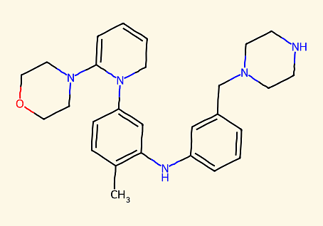 Cc1ccc(N2CC=CC=C2N2CCOCC2)cc1Nc1cccc(CN2CCNCC2)c1